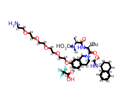 C[C@@H](C(=O)N[C@H](C(=O)N1Cc2cc(OCCOCCOCCOCCOCCN)ccc2C[C@H]1C(=O)N[C@@H]1CCCc2ccccc21)C(C)(C)C)N(C)C(=O)O.O=C(O)C(F)(F)F